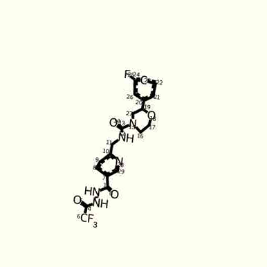 O=C(NNC(=O)C(F)(F)F)c1ccc(CNC(=O)N2CCOC(c3cccc(F)c3)C2)nc1